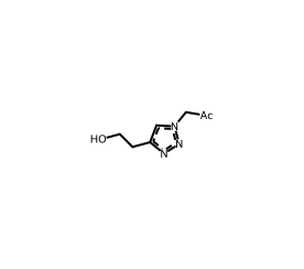 CC(=O)Cn1cc(CCO)nn1